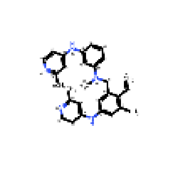 C=Cc1c(C)cc(NC2=CC(C)=NCC2)cc1CN(C)c1cccc(Nc2ccnc(C)c2)c1